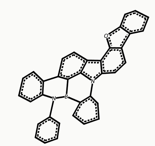 c1ccc(N2B3c4ccccc4-n4c5ccc6c7ccccc7oc6c5c5ccc(c3c54)-c3ccccc32)cc1